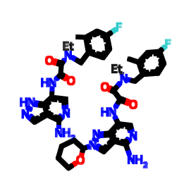 CCN(Cc1ccc(F)cc1C)C(=O)C(=O)Nc1cnc(N)c2cn(C3CCCCO3)nc12.CCN(Cc1ccc(F)cc1C)C(=O)C(=O)Nc1cnc(N)c2cn[nH]c12